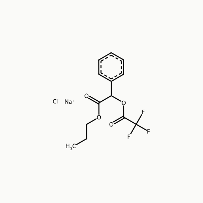 CCCOC(=O)C(OC(=O)C(F)(F)F)c1ccccc1.[Cl-].[Na+]